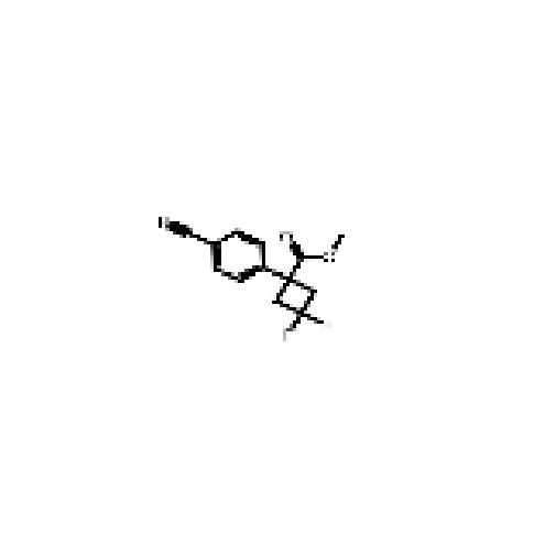 COC(=O)C1(c2ccc(C#N)cc2)CC(F)(F)C1